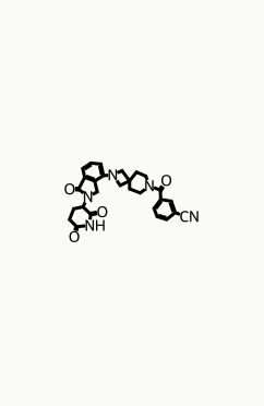 N#Cc1cccc(C(=O)N2CCC3(CC2)CN(c2cccc4c2CN(C2CCC(=O)NC2=O)C4=O)C3)c1